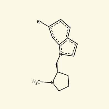 CN1CCC[C@@H]1Cn1ccc2ccc(Br)cc21